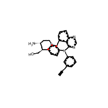 C#Cc1cccc(N(c2ccccc2)c2ncnc3cccc(CN4CC[C@@H](N)[C@H](CO)C4)c23)c1